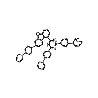 C1=CCC(c2ccc(-c3ccc4c(c3)oc3cccc(-c5nc(-c6ccc(-c7ccccc7)cc6)nc(-c6ccc(-c7ccccc7)cc6)n5)c34)cc2)C=C1